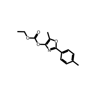 CCOC(=O)Oc1nc(-c2ccc(C)cc2)oc1C